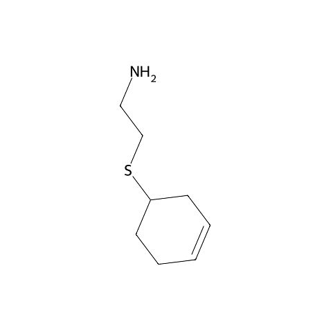 NCCSC1CC=CCC1